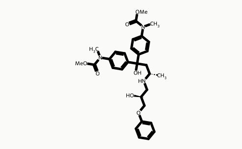 COC(=O)N(C)c1ccc(C(O)(C[C@H](C)NC[C@H](O)COc2ccccc2)c2ccc(N(C)C(=O)OC)cc2)cc1